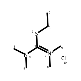 CCSC(N(C)C)=[N+](C)C.[Cl-]